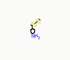 Nc1ccc(C2=CSC(=C3SC=CS3)S2)cc1